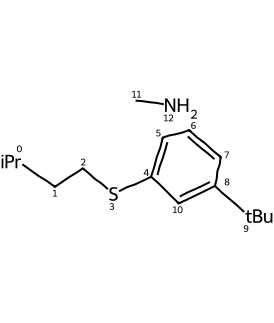 CC(C)CCSc1cccc(C(C)(C)C)c1.CN